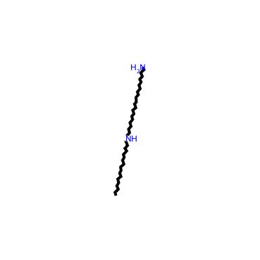 CCCCCCCCCCCCCCCCCCNCCCCCCCCCCCCCCCCCCCCCCN